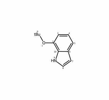 CC(C)(C)Oc1cccc2cc[nH]c12